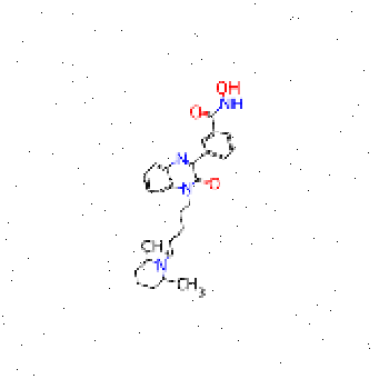 CC1CCCC(C)N1CCCCCn1c(=O)c(-c2cccc(C(=O)NO)c2)nc2ccccc21